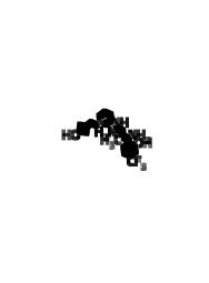 CC(/C=C(\N)NC1CCCN(CCC2CC(O)C2)C1)=C(/N)c1ccc(C(F)(F)F)cc1O